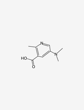 Cc1ncc(N(C)C)cc1C(=O)O